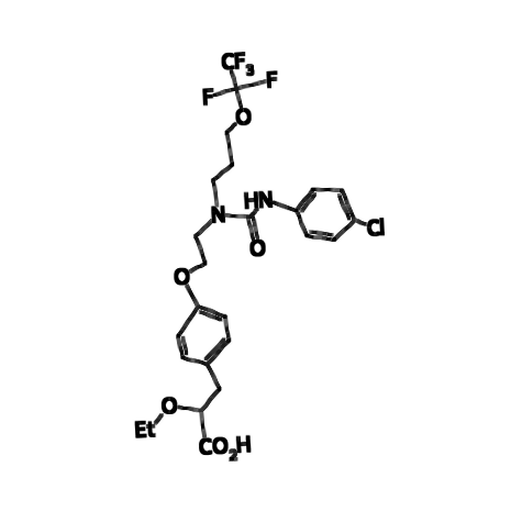 CCOC(Cc1ccc(OCCN(CCCOC(F)(F)C(F)(F)F)C(=O)Nc2ccc(Cl)cc2)cc1)C(=O)O